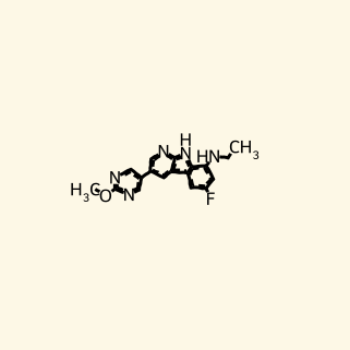 CCNc1cc(F)cc2c1[nH]c1ncc(-c3cnc(OC)nc3)cc12